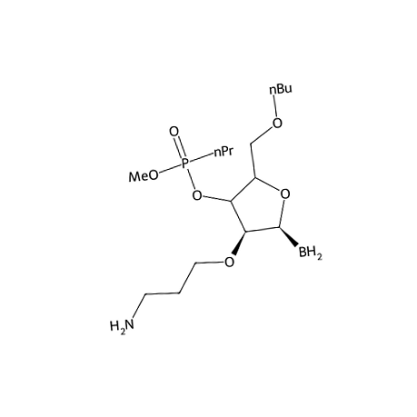 B[C@@H]1OC(COCCCC)C(OP(=O)(CCC)OC)[C@@H]1OCCCN